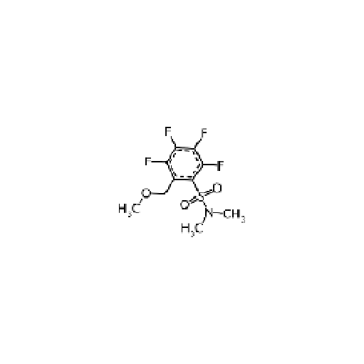 COCc1c(F)c(F)c(F)c(F)c1S(=O)(=O)N(C)C